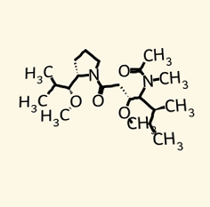 CC[C@H](C)C([C@@H](CC(=O)N1CCC[C@H]1[C@H](OC)C(C)C)OC)N(C)C(C)=O